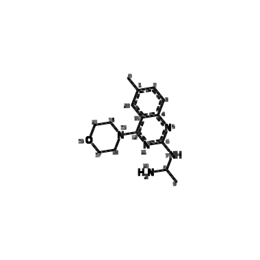 Cc1ccc2nc(NC(C)N)nc(N3CCOCC3)c2c1